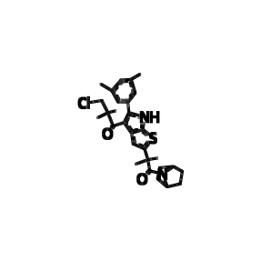 Cc1cc(C)cc(-c2[nH]c3sc(C(C)(C)C(=O)N4C5CCC4CC5)cc3c2C(=O)C(C)(C)CCl)c1